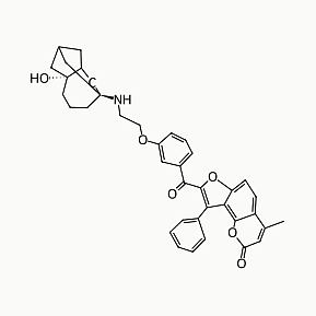 Cc1cc(=O)oc2c1ccc1oc(C(=O)c3cccc(OCCN[C@]45CCC[C@@]6(O)CC(CC6C4)C5)c3)c(-c3ccccc3)c12